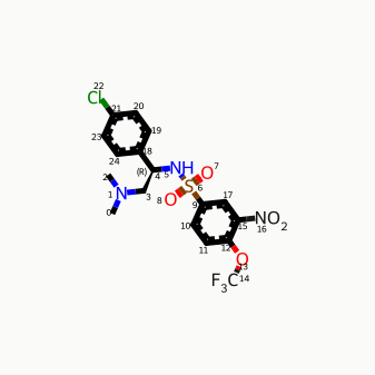 CN(C)C[C@H](NS(=O)(=O)c1ccc(OC(F)(F)F)c([N+](=O)[O-])c1)c1ccc(Cl)cc1